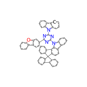 c1ccc2c(c1)-c1ccccc1C21c2ccccc2-c2c1ccc1c3ccccc3n(-c3nc(-c4ccc5c(c4)oc4ccccc45)nc(-n4c5ccccc5c5ccccc54)n3)c21